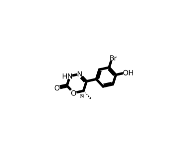 C[C@@H]1OC(=O)NN=C1c1ccc(O)c(Br)c1